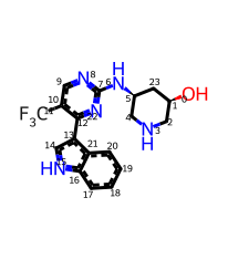 O[C@H]1CNC[C@@H](Nc2ncc(C(F)(F)F)c(-c3c[nH]c4ccccc34)n2)C1